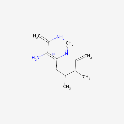 C=CC(C)C(C)C/C(N=C)=C(\N)C(=C)N